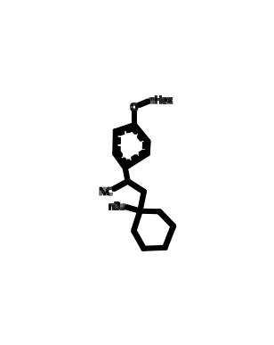 CCCCCCOc1ccc(C(C#N)CC2(CCCC)CCCCC2)cc1